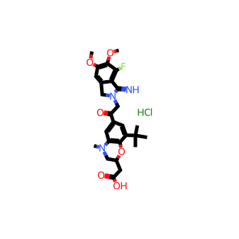 COc1cc2c(c(F)c1OC)C(=N)N(CC(=O)c1cc3c(c(C(C)(C)C)c1)OC(CC(=O)O)CN3C)C2.Cl